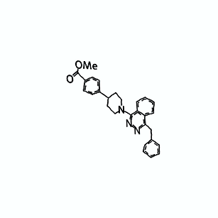 COC(=O)c1ccc(C2CCN(c3nnc(Cc4ccccc4)c4ccccc34)CC2)cc1